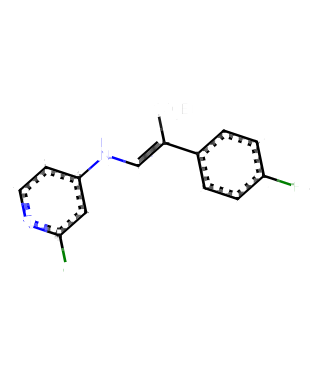 CCOC(=O)/C(=C\Nc1ccnc(Cl)c1)c1ccc(F)cc1